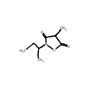 CCC(C)N1OC(=O)C(C)C1=O